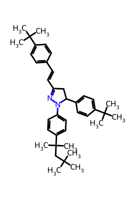 CC(C)(C)CC(C)(C)c1ccc(N2N=C(C=Cc3ccc(C(C)(C)C)cc3)CC2c2ccc(C(C)(C)C)cc2)cc1